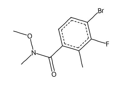 CON(C)C(=O)c1ccc(Br)c(F)c1C